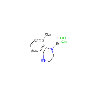 CCN1CCNCC1.COc1ccccc1.Cl.Cl